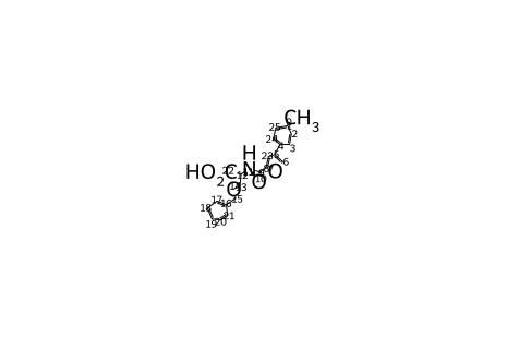 Cc1ccc(-c2coc(C(=O)N[C@@H](COCc3ccccc3)C(=O)O)c2)cc1